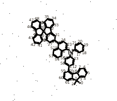 CC1(C)c2ccccc2-c2c(-c3ccc(N(c4ccccc4)c4ccc(-c5ccc6c(c5)-c5ccccc5C65c6ccccc6-c6ccccc65)c5ccccc45)cc3)cccc21